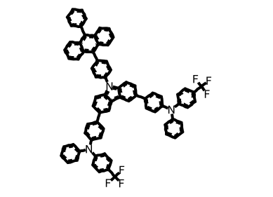 FC(F)(F)c1ccc(N(c2ccccc2)c2ccc(-c3ccc4c(c3)c3cc(-c5ccc(N(c6ccccc6)c6ccc(C(F)(F)F)cc6)cc5)ccc3n4-c3ccc(-c4c5ccccc5c(-c5ccccc5)c5ccccc45)cc3)cc2)cc1